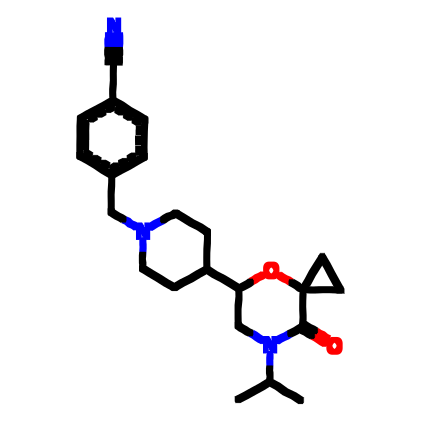 CC(C)N1CC(C2CCN(Cc3ccc(C#N)cc3)CC2)OC2(CC2)C1=O